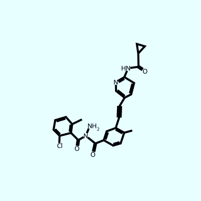 Cc1ccc(C(=O)N(N)C(=O)c2c(C)cccc2Cl)cc1C#Cc1ccc(NC(=O)C2CC2)nc1